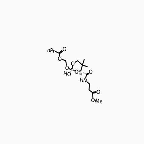 CCCC(=O)OCO[P]1(O)OCC(C)(C)[C@H](C(=O)NCCC(=O)OC)O1